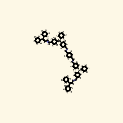 C(/C=C/c1ccc(N(c2ccccc2)c2ccc(/C=C/c3ccc(/C=C/c4ccc(N(c5ccccc5)c5ccc(/C=C/C=C(c6ccccc6)c6ccccc6)cc5)cc4)cc3)cc2)cc1)=C(c1ccccc1)c1ccccc1